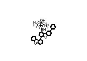 CC(C)(O)C(C)(C)OBc1ccc(-c2cccc3oc4ccccc4c23)c2oc3ccc(-c4ccccc4)cc3c12